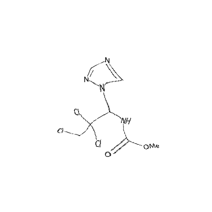 COC(=O)NC(n1cncn1)C(Cl)(Cl)CCl